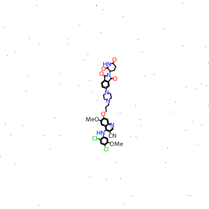 COc1cc(Nc2c(C#N)cnc3cc(OCCCN4CCN(c5ccc6c(c5)C(=O)N(C5CCC(=O)NC5=O)C6=O)CC4)c(OC)cc23)c(Cl)cc1Cl